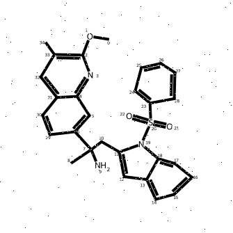 COc1nc2cc(C(C)(N)Cc3cc4ccccc4n3S(=O)(=O)c3ccccc3)ccc2cc1C